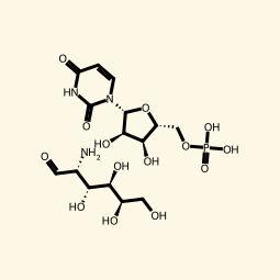 N[C@@H](C=O)[C@@H](O)[C@@H](O)[C@H](O)CO.O=c1ccn([C@@H]2O[C@H](COP(=O)(O)O)[C@@H](O)[C@H]2O)c(=O)[nH]1